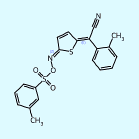 Cc1cccc(S(=O)(=O)O/N=C2C=C/C(=C(\C#N)c3ccccc3C)S/2)c1